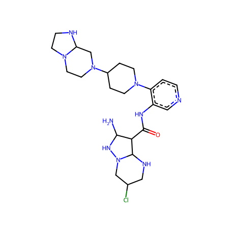 NC1NN2CC(Cl)CNC2C1C(=O)Nc1cnccc1N1CCC(N2CCN3CCNC3C2)CC1